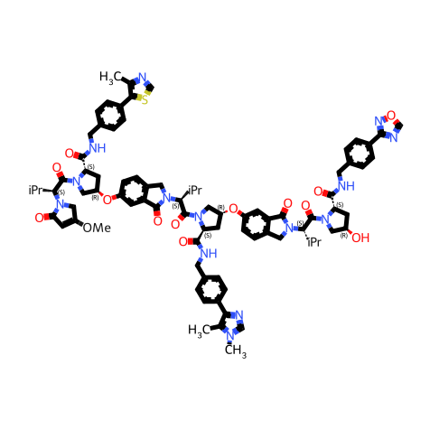 COC1=CC(=O)N([C@H](C(=O)N2C[C@H](Oc3ccc4c(c3)C(=O)N([C@H](C(=O)N3C[C@H](Oc5ccc6c(c5)C(=O)N([C@H](C(=O)N5C[C@H](O)C[C@H]5C(=O)NCc5ccc(-c7ncon7)cc5)C(C)C)C6)C[C@H]3C(=O)NCc3ccc(-c5ncn(C)c5C)cc3)C(C)C)C4)C[C@H]2C(=O)NCc2ccc(-c3scnc3C)cc2)C(C)C)C1